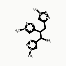 Cn1cc(CC(c2cn(C)nn2)C(N)c2cn(C)nn2)nn1